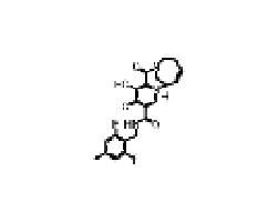 Cc1cc(F)c(CNC(=O)c2cn3c(c(O)c2=O)C(=O)N2CCC=C[C@@H]3C2)c(F)c1